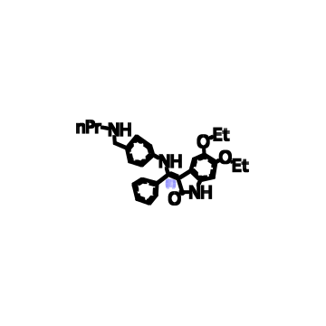 CCCNCc1ccc(N/C(=C2/C(=O)Nc3cc(OCC)c(OCC)cc32)c2ccccc2)cc1